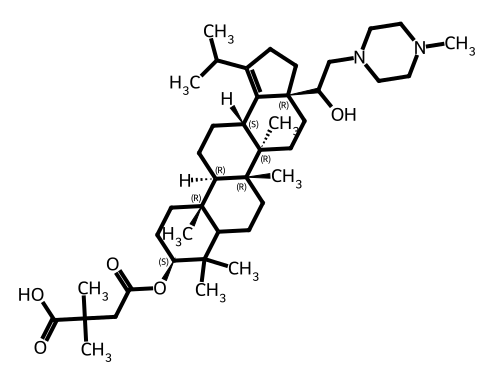 CC(C)C1=C2[C@H]3CC[C@@H]4[C@@]5(C)CC[C@H](OC(=O)CC(C)(C)C(=O)O)C(C)(C)C5CC[C@@]4(C)[C@]3(C)CC[C@@]2(C(O)CN2CCN(C)CC2)CC1